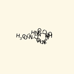 CO[C@@H]1CCCN(Cc2cc3c4nc(c(=O)[nH]c4c2)-c2cccc4c(=O)n([nH]c24)CCN2CC[C@@H](C2)O3)C1